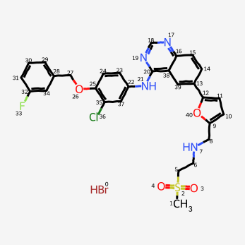 Br.CS(=O)(=O)CCNCc1ccc(-c2ccc3ncnc(Nc4ccc(OCc5cccc(F)c5)c(Cl)c4)c3c2)o1